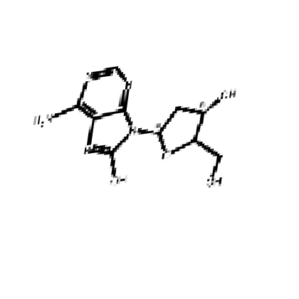 Nc1ncnc2c1nc(O)n2[C@H]1C[C@@H](O)C(CO)O1